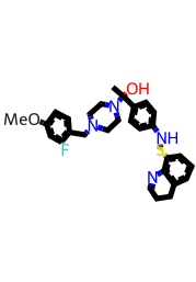 COc1ccc(CN2CCN(C(C)(O)c3ccc(NSc4cccc5c4N=CCC5)cc3)CC2)c(F)c1